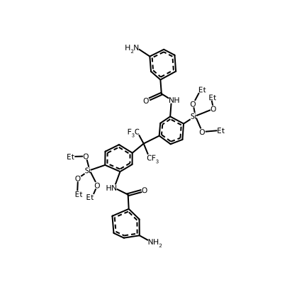 CCO[Si](OCC)(OCC)c1ccc(C(c2ccc([Si](OCC)(OCC)OCC)c(NC(=O)c3cccc(N)c3)c2)(C(F)(F)F)C(F)(F)F)cc1NC(=O)c1cccc(N)c1